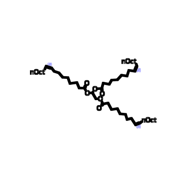 CCCCCCCC/C=C\CCCCCCCC(=O)OCC(OC(=O)CCCCCCC/C=C\CCCCCCCC)OC(=O)CCCCCCC/C=C\CCCCCCCC